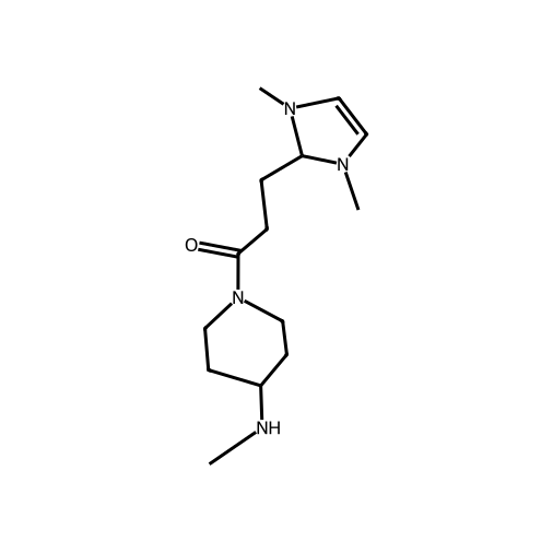 CNC1CCN(C(=O)CCC2N(C)C=CN2C)CC1